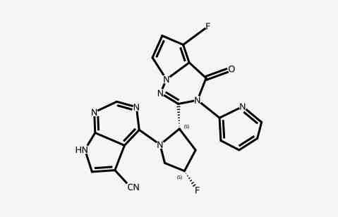 N#Cc1c[nH]c2ncnc(N3C[C@@H](F)C[C@H]3c3nn4ccc(F)c4c(=O)n3-c3ccccn3)c12